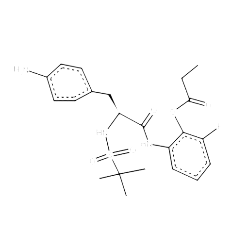 CCC(=O)Oc1c(F)cccc1NC(=O)[C@H](Cc1ccc(N)cc1)NS(=O)(=O)C(C)(C)C